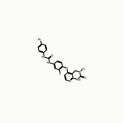 CCN1Cc2c(Oc3ccc(NC(=O)Nc4ccc(C(C)C)cc4)cc3F)ccnc2NC1=O